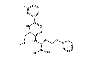 COCC(NC(=O)c1cccc(C)n1)C(=O)N[C@@H](CCOc1ccccc1)B(O)O